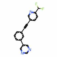 FC(F)c1ccc(C#Cc2cccc(-c3cncnc3)c2)cn1